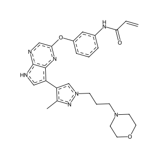 C=CC(=O)Nc1cccc(Oc2cnc3[nH]cc(-c4cn(CCCN5CCOCC5)nc4C)c3n2)c1